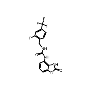 O=C(NCc1ccc(C(F)(F)F)cc1F)Nc1cccc2oc(=O)[nH]c12